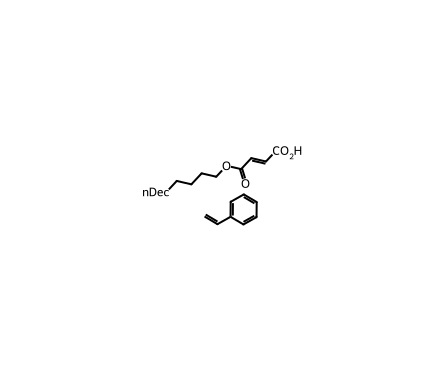 C=Cc1ccccc1.CCCCCCCCCCCCCCOC(=O)/C=C/C(=O)O